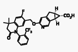 CC1(C)CC(=O)N(c2ccccc2C(F)(F)F)c2cc(COc3cc4c(cn3)[C@H]3[C@@H](C4)[C@@H]3C(=O)O)c(F)cc21